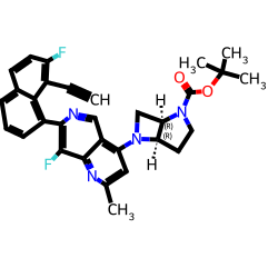 C#Cc1c(F)ccc2cccc(-c3ncc4c(N5C[C@@H]6[C@H]5CCN6C(=O)OC(C)(C)C)cc(C)nc4c3F)c12